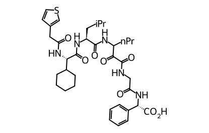 CCCC(NC(=O)[C@H](CC(C)C)NC(=O)[C@@H](NC(=O)Cc1ccsc1)C1CCCCC1)C(=O)C(=O)NCC(=O)N[C@H](C(=O)O)c1ccccc1